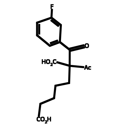 CC(=O)C(CCCCC(=O)O)(C(=O)O)C(=O)c1cccc(F)c1